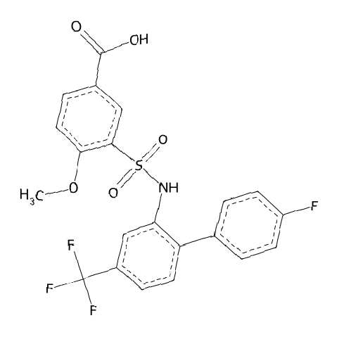 COc1ccc(C(=O)O)cc1S(=O)(=O)Nc1cc(C(F)(F)F)ccc1-c1ccc(F)cc1